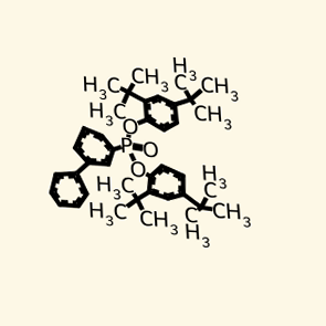 CC(C)(C)c1ccc(OP(=O)(Oc2ccc(C(C)(C)C)cc2C(C)(C)C)c2cccc(-c3ccccc3)c2)c(C(C)(C)C)c1